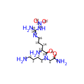 NCCCCN(CC(N)=O)C(=O)[C@@H](N)CCCN=C(N)N[N+](=O)[O-]